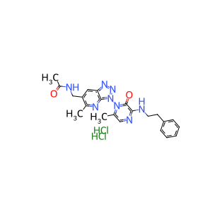 CC(=O)NCc1cc2nnn(-n3c(C)cnc(NCCc4ccccc4)c3=O)c2nc1C.Cl.Cl